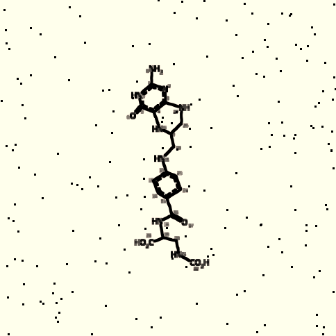 Nc1nc2c(c(=O)[nH]1)NC(CNc1ccc(C(=O)NC(CNC(=O)O)C(=O)O)cc1)CN2